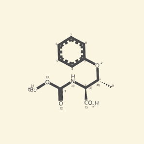 C[C@@H](Oc1ccccc1)[C@H](NC(=O)OC(C)(C)C)C(=O)O